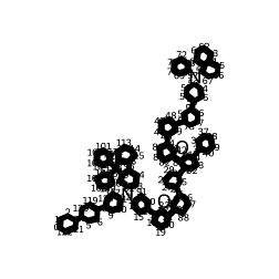 C1=CCC(C2C=CC(c3ccc(N(c4ccc(-c5cccc6c5oc5c(C7=CC=CC(c8ccc(-c9ccccc9)c9oc%10c(-c%11cccc(C%12=CC(C%13=CCC(N(C%14=c%15ccccc%15=CCC%14)c%14ccccc%14)C=C%13)=CCC%12)c%11)cccc%10c89)C7)cccc56)cc4)c4ccc5c(c4)C(c4ccccc4)(c4ccccc4)c4ccccc4-5)cc3)=CC2)C=C1